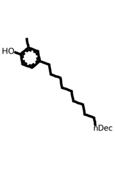 CCCCCCCCCCCCCCCCCCCc1ccc(O)c(C)c1